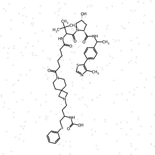 Cc1ncsc1-c1ccc(C(C)NC(=O)[C@@H]2C[C@@H](O)CN2C(=O)C(NC(=O)CCCCC(=O)N2CCC3(CC2)CN(CCC(CSc2ccccc2)NC(=O)O)C3)C(C)(C)C)cc1